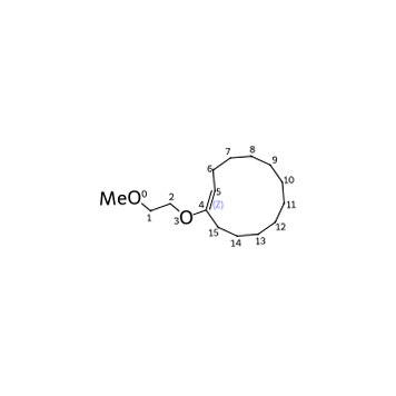 COCCO/C1=C\CCCCCCCCCC1